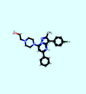 Cc1nn2c(N3CCN(CCO)CC3)cc(-c3ccccc3)nc2c1-c1ccc(F)cc1